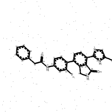 Cc1cnc(-c2ccc(-c3ccc(NC(=O)Cc4ccccc4)cc3F)c3c2C(=O)NC3)[nH]1